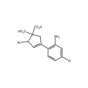 CC(=O)N1C=C(c2ccc(Cl)cc2N)CC1(C(=O)O)C(=O)O